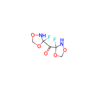 O=C(C1(F)NOCO1)C1(F)NOCO1